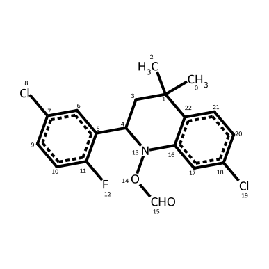 CC1(C)CC(c2cc(Cl)ccc2F)N(OC=O)c2cc(Cl)ccc21